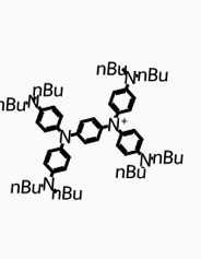 CCCCN(CCCC)c1ccc(N(c2ccc(N(CCCC)CCCC)cc2)c2ccc([N+](c3ccc(N(CCCC)CCCC)cc3)c3ccc(N(CCCC)CCCC)cc3)cc2)cc1